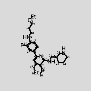 CC/N=C1/C=C(c2ccc(NCCCOCC)c(F)c2)N=C(NCC2CCCNC2)/C1=N/C